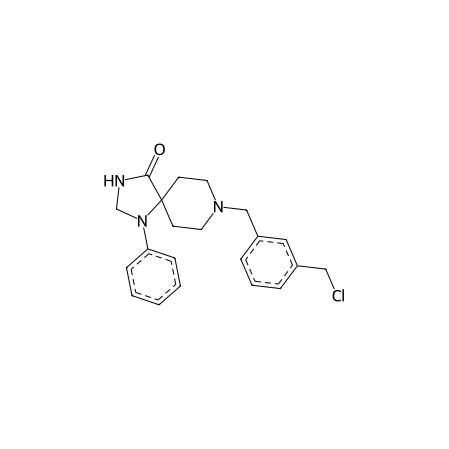 O=C1NCN(c2ccccc2)C12CCN(Cc1cccc(CCl)c1)CC2